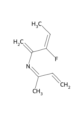 C=C/C(C)=N\C(=C)/C(F)=C\C